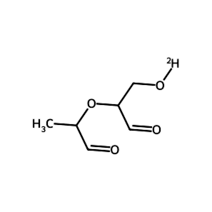 [2H]OCC(C=O)OC(C)C=O